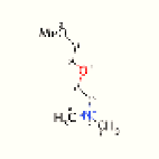 COCCOCC[N+](C)C